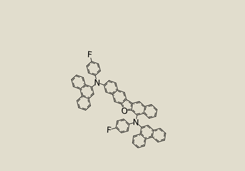 Fc1ccc(N(c2ccc3cc4c(cc3c2)oc2c(N(c3ccc(F)cc3)c3cc5ccccc5c5ccccc35)c3ccccc3cc24)c2cc3ccccc3c3ccccc23)cc1